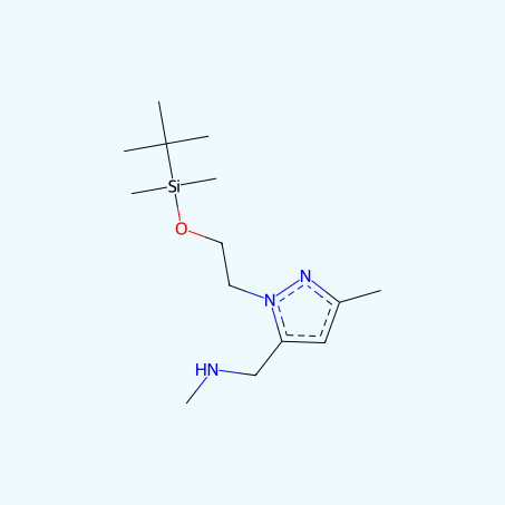 CNCc1cc(C)nn1CCO[Si](C)(C)C(C)(C)C